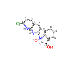 [O-][N+]1(c2ccc3ccc(Cl)nc3n2)CC(O)c2ccccc21